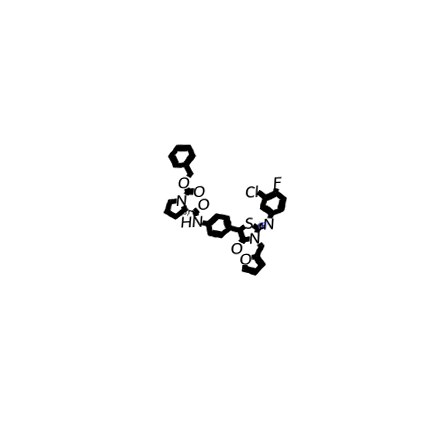 O=C(Nc1ccc(C2S/C(=N\c3ccc(F)c(Cl)c3)N(Cc3ccco3)C2=O)cc1)[C@@H]1CCCN1C(=O)OCc1ccccc1